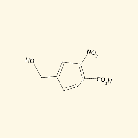 O=C(O)c1ccc(CO)cc1[N+](=O)[O-]